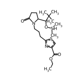 CCOC(=O)c1csc(CCCN2C(=O)CCC2C(O[SiH](C)C)C(C)(C)C)n1